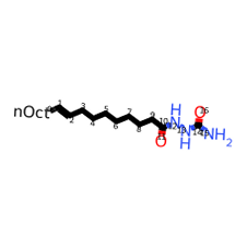 CCCCCCCCC=CCCCCCCCC(=O)NNC(N)=O